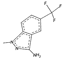 Cn1nc(N)c2cc(C(F)(F)F)ccc21